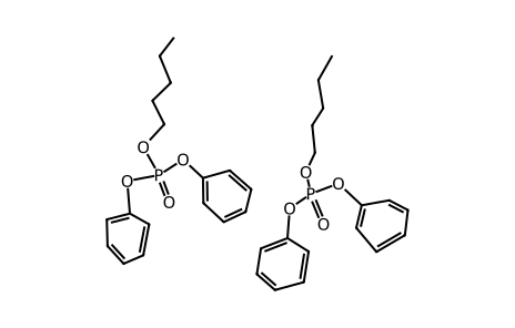 CCCCCOP(=O)(Oc1ccccc1)Oc1ccccc1.CCCCCOP(=O)(Oc1ccccc1)Oc1ccccc1